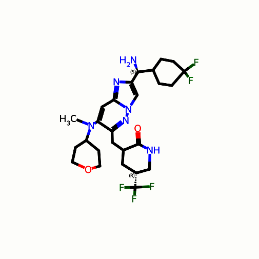 CN(c1cc2nc([C@@H](N)C3CCC(F)(F)CC3)cn2nc1CC1C[C@@H](C(F)(F)F)CNC1=O)C1CCOCC1